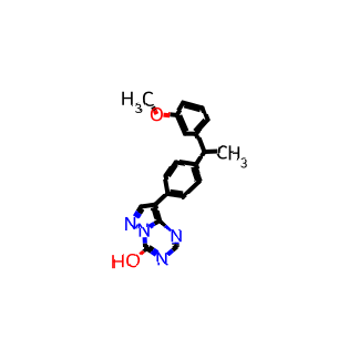 COc1cccc(C(C)c2ccc(-c3cnn4c(O)ncnc34)cc2)c1